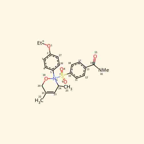 CCOc1ccc([N+]2(S(=O)(=O)c3ccc(C(=O)NC)cc3)OCC(C)=CC2C)cc1